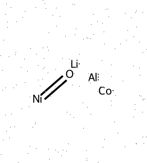 [Al].[Co].[Li].[O]=[Ni]